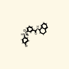 O=C(NC1CCCc2ccccc21)c1cccc(S(=O)(=O)Nc2ccc(Br)cc2)c1